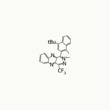 Cc1c(-c2c3nc4ccccc4nc3c(C(F)(F)F)n[n+]2C)cc(C(C)(C)C)c2ccccc12